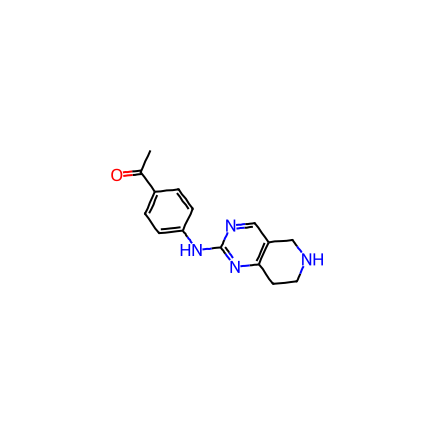 CC(=O)c1ccc(Nc2ncc3c(n2)CCNC3)cc1